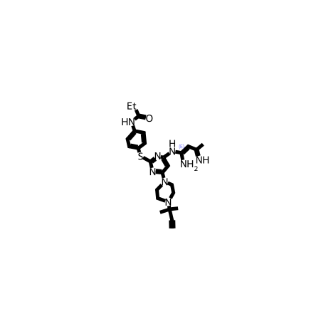 C#CC(C)(C)N1CCN(c2cc(N/C(N)=C/C(C)=N)nc(Sc3ccc(NC(=O)CC)cc3)n2)CC1